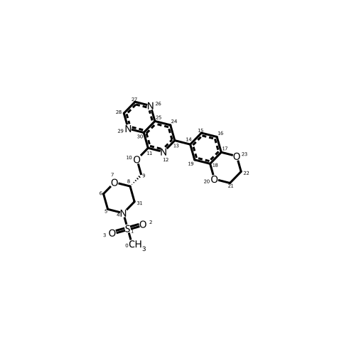 CS(=O)(=O)N1CCO[C@H](COc2nc(-c3ccc4c(c3)OCCO4)cc3nccnc23)C1